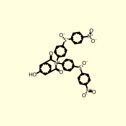 O=C1c2cc(O)cc(c2)C(=O)[N+]1(c1ccc([S+]([O-])c2ccc([N+](=O)[O-])cc2)cc1)c1ccc([S+]([O-])c2ccc([N+](=O)[O-])cc2)cc1